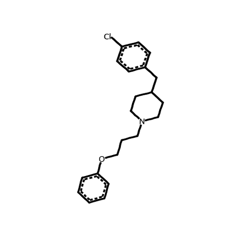 Clc1ccc(CC2CCN(CCCOc3ccccc3)CC2)cc1